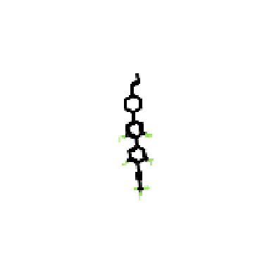 C/C=C/C1CCC(c2cc(F)c(-c3cc(F)c(C#CC(F)(F)F)c(F)c3)c(F)c2)CC1